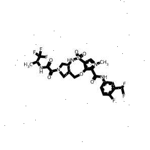 CC(NC(=O)C(=O)N1CC2COc3c(cn(C)c3C(=O)Nc3ccc(F)c(C(F)F)c3)S(=O)(=O)NC2C1)C(F)(F)F